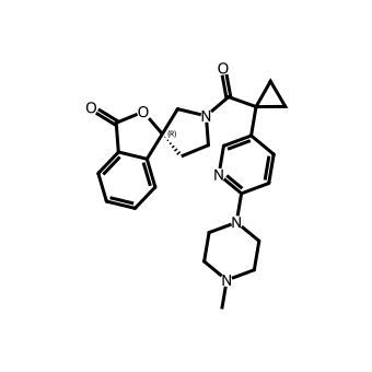 CN1CCN(c2ccc(C3(C(=O)N4CC[C@@]5(C4)OC(=O)c4ccccc45)CC3)cn2)CC1